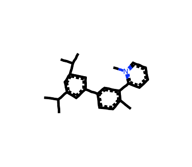 Cc1ccc(-c2cc(C(C)C)cc(C(C)C)c2)cc1-c1cccc[n+]1C